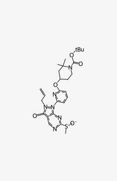 C=CCn1c(=O)c2cnc([S+](C)[O-])nc2n1-c1cccc(OC2CCN(C(=O)OC(C)(C)C)C(C)(C)C2)n1